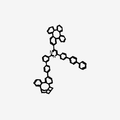 c1ccc(-c2ccc(-c3ccc(-c4cc(-c5ccc6c(c5)-c5ccccc5-c5ccccc5-c5ccccc5-6)nc(-c5cccc(-c6ccc(-c7ccc8c(c7)-c7ccccc7C7CC9CC%10CC8C9%10C7)cc6)c5)n4)cc3)cc2)cc1